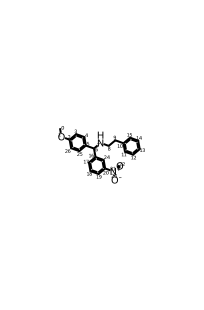 COc1ccc(C(NCCc2ccccc2)c2cccc([N+](=O)[O-])c2)cc1